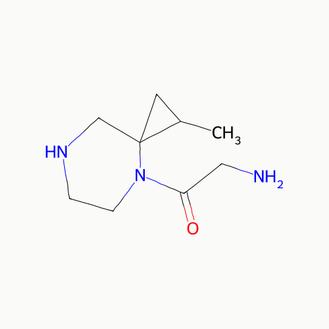 CC1CC12CNCCN2C(=O)CN